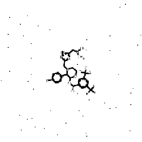 C[C@@H](OC1OCCN(Cc2n[nH]c(CN(C)C)n2)C1c1ccc(F)cc1)c1cc(C(F)(F)F)cc(C(F)(F)F)c1